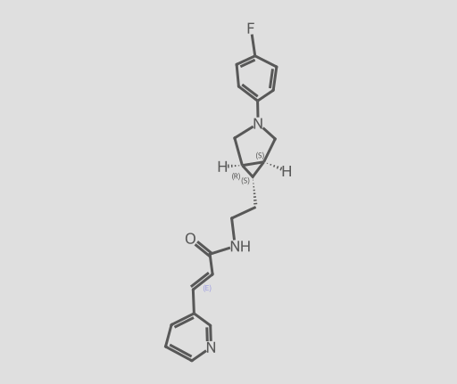 O=C(/C=C/c1cccnc1)NCC[C@@H]1[C@H]2CN(c3ccc(F)cc3)C[C@@H]12